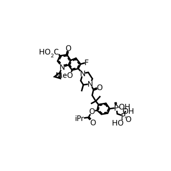 C=P(O)(CP(=O)(O)O)c1ccc(OC(=O)C(C)C)c(C(C)(C)CC(=O)N2CCN(c3c(F)cc4c(=O)c(C(=O)O)cn(C5CC5)c4c3OC)CC2C)c1